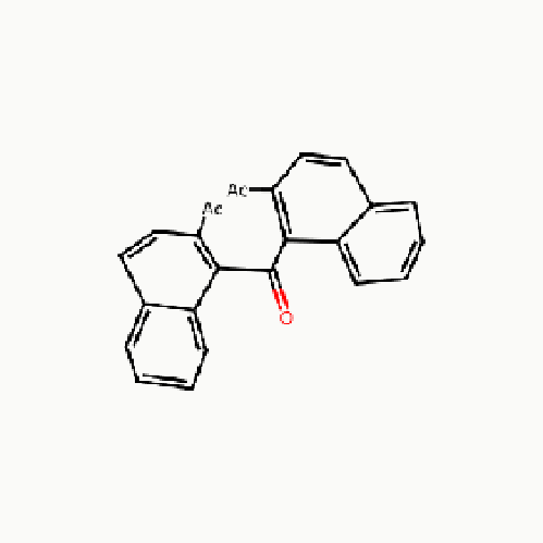 CC(=O)c1ccc2ccccc2c1C(=O)c1c(C(C)=O)ccc2ccccc12